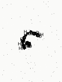 CS(=O)(=O)N1CCc2cccc(Nc3nc(Nc4ccc(N5CCC(NCCNC[C@@H]6CCN(c7ccc(C8CCC(=O)NC8=O)cc7)C6)CC5)c(F)c4)nc4[nH]ccc34)c21